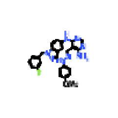 COc1ccc(NN=Cc2c(N)ncnc2Nc2ccc3c(cnn3Cc3cccc(F)c3)c2)cc1